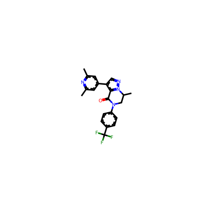 Cc1cc(-c2cnn3c2C(=O)N(c2ccc(C(F)(F)F)cc2)CC3C)cc(C)n1